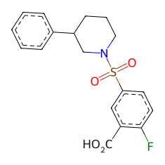 O=C(O)c1cc(S(=O)(=O)N2CCCC(c3ccccc3)C2)ccc1F